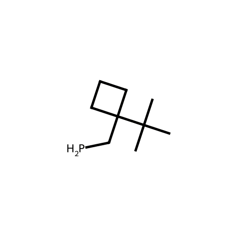 CC(C)(C)C1(CP)CCC1